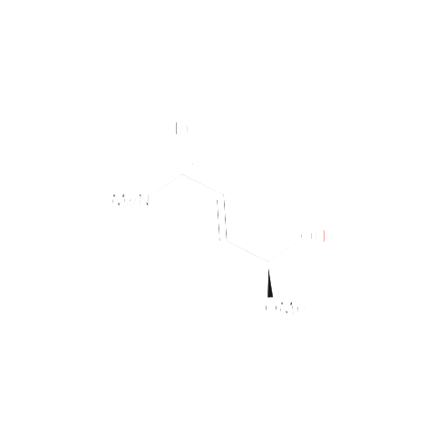 CC[C@H](/C=C/[C@@H](O)OC)NC